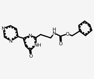 O=C(NCCc1nc(-c2ccncn2)cc(=O)[nH]1)OCc1ccccc1